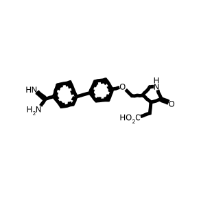 N=C(N)c1ccc(-c2ccc(OCC3CNC(=O)C3CC(=O)O)cc2)cc1